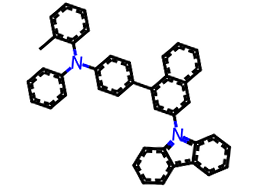 Cc1ccccc1N(c1ccccc1)c1ccc(-c2cc(-n3c4ccccc4c4ccccc43)cc3ccccc23)cc1